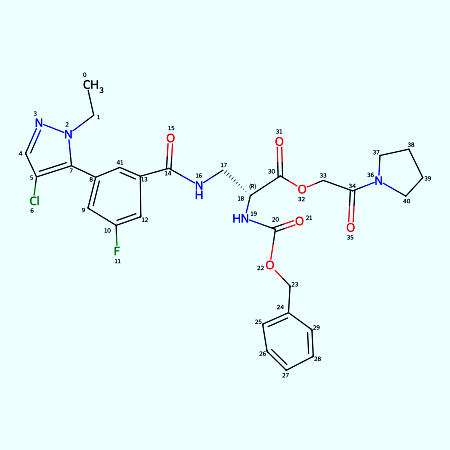 CCn1ncc(Cl)c1-c1cc(F)cc(C(=O)NC[C@@H](NC(=O)OCc2ccccc2)C(=O)OCC(=O)N2CCCC2)c1